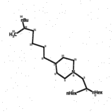 CCCCCCC(CCCCCC)CN1CCC(CCCCC(C)CCCC)CC1